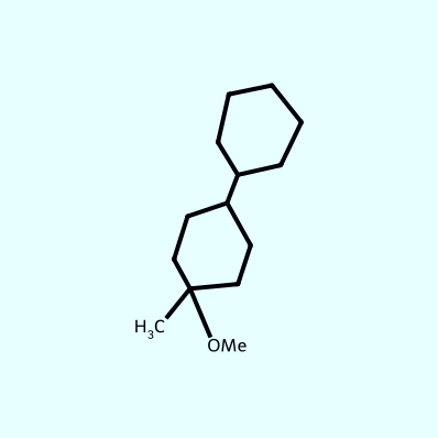 COC1(C)CCC(C2CCCCC2)CC1